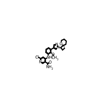 COc1c(Nc2cc(Cl)ncc2C(N)=O)cccc1-c1cnn([C@@H]2CC[C@]23CCCCO3)c1